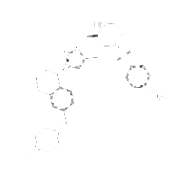 COc1ccc(S(=O)(=O)N2CCNC(=O)[C@H]2Cc2cn([C@@H]3CCCc4cc(CN5CCN(C)CC5)ccc43)nn2)cc1